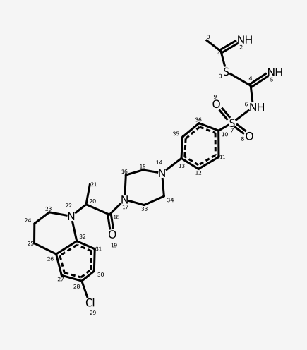 CC(=N)SC(=N)NS(=O)(=O)c1ccc(N2CCN(C(=O)C(C)N3CCCc4cc(Cl)ccc43)CC2)cc1